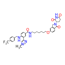 Cn1cnc(-c2cc(C(=O)NCCCCCCCOc3ccc4c(c3)CN([C@H]3CCC(=O)NC3=O)C4=O)ccc2NCc2ccc(C(F)(F)F)cc2)c1